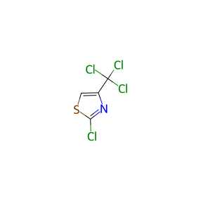 Clc1nc(C(Cl)(Cl)Cl)cs1